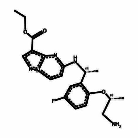 CCOC(=O)c1cnn2ccc(N[C@H](C)c3cc(F)ccc3O[C@H](C)CN)nc12